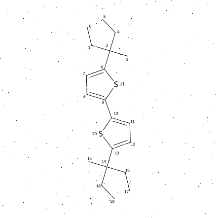 CCC(C)(CC)c1ccc(-c2ccc(C(C)(CC)CC)s2)s1